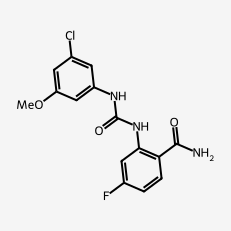 COc1cc(Cl)cc(NC(=O)Nc2cc(F)ccc2C(N)=O)c1